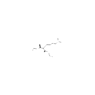 CCOC(=O)C(CCCCN(C)C)C(=O)OCC